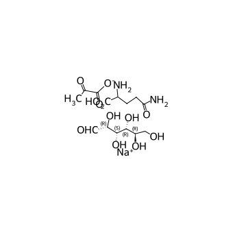 CC(=O)C(=O)[O-].NC(=O)CCC(N)C(=O)O.O=C[C@H](O)[C@@H](O)[C@H](O)[C@H](O)CO.[Na+]